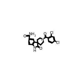 NC(=O)c1ccc2c(c1)C1(CCN(C(=O)c3ccc(Cl)cc3Cl)CC1)C(=O)N2